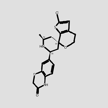 C[C@H]1C[C@@]2(C[C@@H](c3ccc4c(c3)OCC(=O)N4)N1)OCCc1cc(Cl)sc12